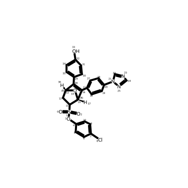 O=S(=O)(Oc1ccc(Cl)cc1)C1C[C@H]2O[C@@H]1C(c1ccc(-n3cncn3)cc1)=C2c1ccc(O)cc1